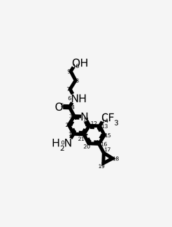 Nc1cc(C(=O)NCCCO)nc2c(C(F)(F)F)cc(C3CC3)cc12